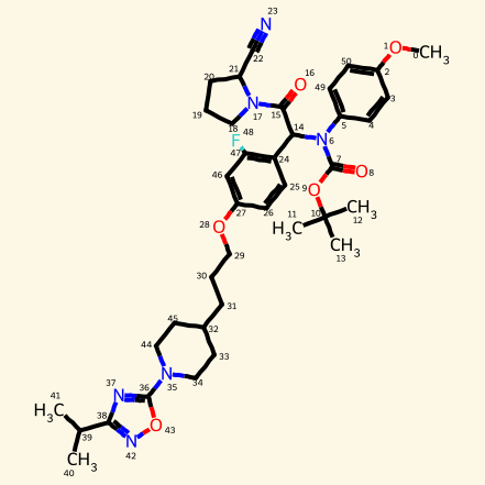 COc1ccc(N(C(=O)OC(C)(C)C)C(C(=O)N2CCCC2C#N)c2ccc(OCCCC3CCN(c4nc(C(C)C)no4)CC3)cc2F)cc1